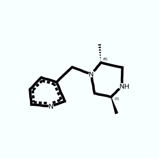 C[C@@H]1CN[C@@H](C)CN1Cc1cccnc1